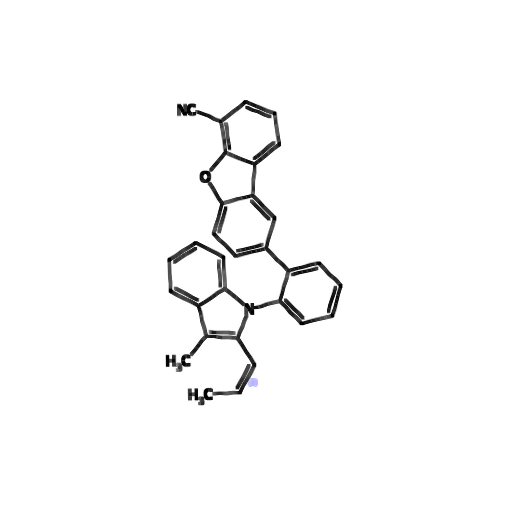 C/C=C\c1c(C)c2ccccc2n1-c1ccccc1-c1ccc2oc3c(C#N)cccc3c2c1